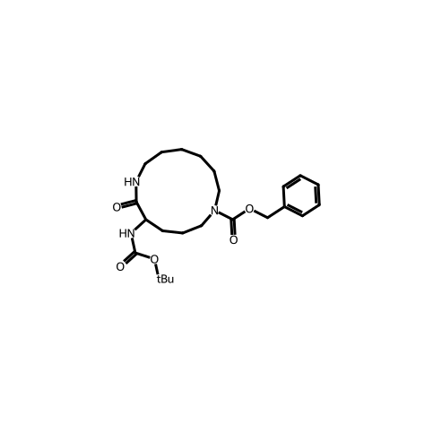 CC(C)(C)OC(=O)NC1CCCN(C(=O)OCc2ccccc2)CCCCCCNC1=O